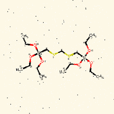 CCO[Si](CSCSC[Si](OCC)(OCC)OCC)(OCC)OCC